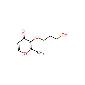 Cc1occc(=O)c1OCCCO